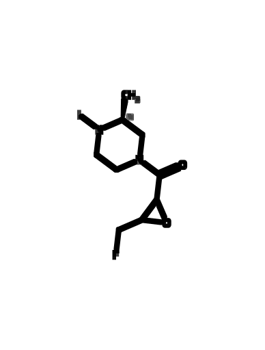 C[C@H]1CN(C(=O)C2OC2CF)CCN1I